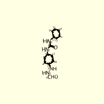 O=CNNc1ccc(NC(=O)Nc2ccccc2)cc1